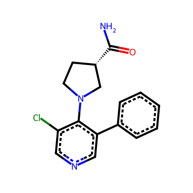 NC(=O)[C@H]1CCN(c2c(Cl)cncc2-c2ccccc2)C1